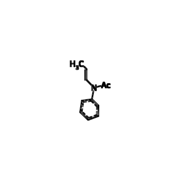 C/C=C/N(C(C)=O)c1ccccc1